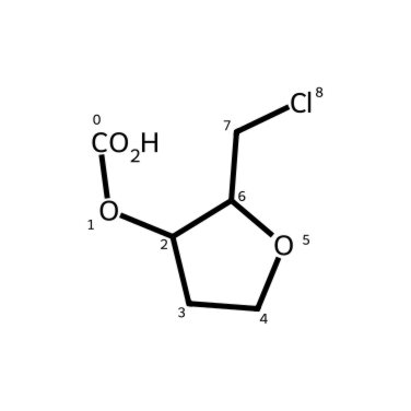 O=C(O)OC1CCOC1CCl